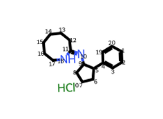 Cl.c1ccc(C2CCCC2N=C2CCCCCCN2)cc1